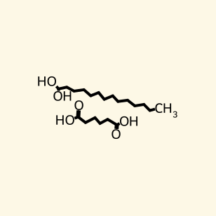 CCCCCCCCCCCCCC(O)O.O=C(O)CCCCC(=O)O